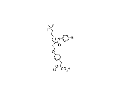 CCOC(Cc1ccc(OCCN(CCCCC(C)(F)F)C(=O)Nc2ccc(Br)cc2)cc1)C(=O)O